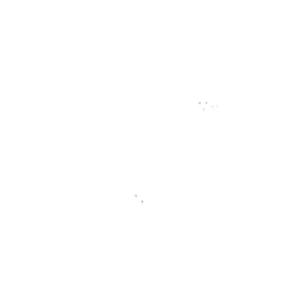 CCc1nc(OCc2ccccc2)c(C(=O)OC)cc1C(=O)O